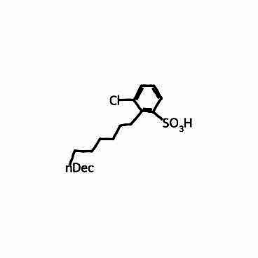 CCCCCCCCCCCCCCCCc1c(Cl)cccc1S(=O)(=O)O